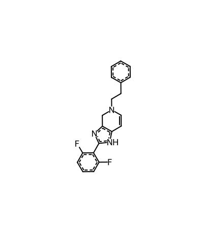 Fc1cccc(F)c1-c1nc2c([nH]1)C=CN(CCc1ccccc1)C2